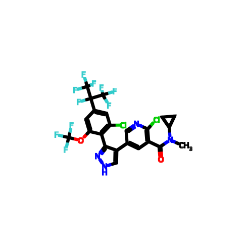 CN(C(=O)c1cc(-c2c[nH]nc2-c2c(Cl)cc(C(F)(C(F)(F)F)C(F)(F)F)cc2OC(F)(F)F)cnc1Cl)C1CC1